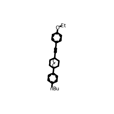 CCCCc1ccc(C23CCC(C#Cc4ccc(OCC)cc4)(CC2)CC3)cc1